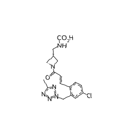 Cc1nnn(Cc2cc(Cl)ccc2C=CC(=O)N2CC(CNC(=O)O)C2)n1